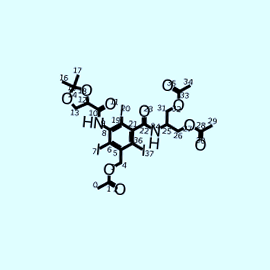 CC(=O)OCc1c(I)c(NC(=O)C2COC(C)(C)O2)c(I)c(C(=O)NC(COC(C)=O)COC(C)=O)c1I